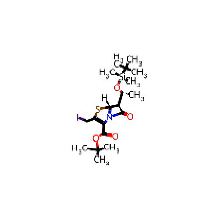 C[C@@H](O[Si](C)(C)C(C)(C)C)[C@H]1C(=O)N2C(C(=O)OC(C)(C)C)=C(CI)S[C@H]12